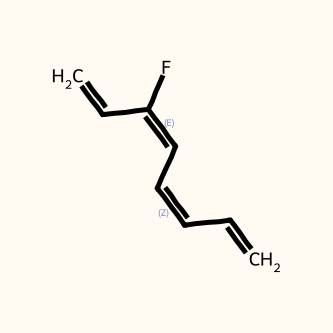 C=C/C=C\C=C(\F)C=C